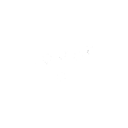 CC(C(=O)NCc1ccc(C(F)(F)F)nc1CCc1ccc(F)cc1)c1ccc(N(C)[SH](=O)=O)c(F)c1